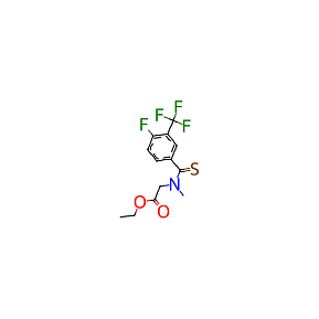 CCOC(=O)CN(C)C(=S)c1ccc(F)c(C(F)(F)F)c1